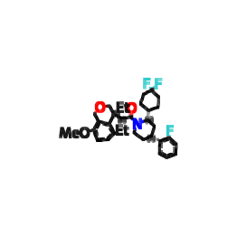 CC[C@@H](C(=O)N1CC[C@@H](c2ccccc2F)C[C@H]1C1CCC(F)(F)CC1)[C@]1(CC)COCc2c(OC)cccc21